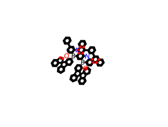 c1ccc(-c2cc3c4c(c2)N(c2ccccc2)c2cc5c(cc2B4c2ccc4c(c2O3)C2(c3ccccc3-c3ccccc32)c2ccccc2-4)B2c3ccc4c(c3Oc3cc(-c6ccccc6)cc(c32)N5c2c(-c3ccccc3)cccc2-c2ccccc2)C2(c3ccccc3-c3ccccc32)c2ccccc2-4)cc1